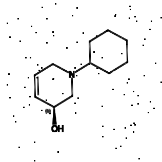 O[C@H]1C=CCN(C2CCCCC2)C1